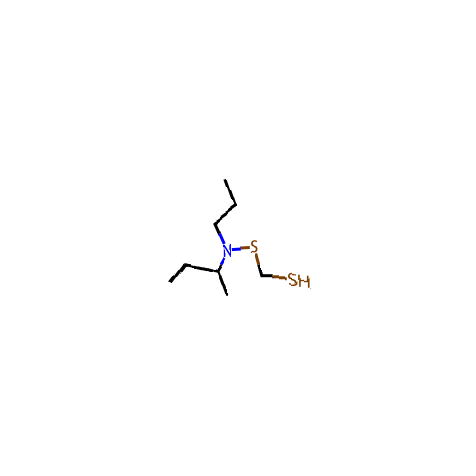 CCCN(SCS)C(C)CC